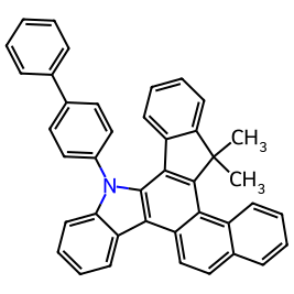 CC1(C)c2ccccc2-c2c1c1c3ccccc3ccc1c1c3ccccc3n(-c3ccc(-c4ccccc4)cc3)c21